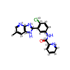 Cc1cnc2nc(-c3cc(NC(=O)c4ccccn4)ccc3Cl)[nH]c2c1